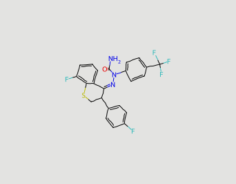 NC(=O)N(/N=C1\c2cccc(F)c2SCC1c1ccc(F)cc1)c1ccc(C(F)(F)F)cc1